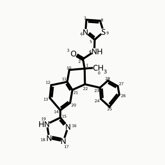 CC1(C(=O)Nc2nccs2)Cc2ccc(-c3nnn[nH]3)cc2C1c1ccccc1